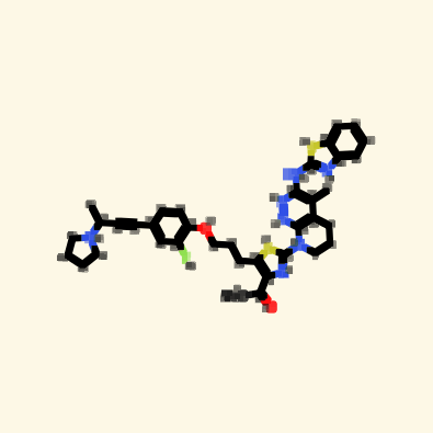 COC(=O)c1nc(N2CCCc3c2nnc(Nc2nc4ccccc4s2)c3C)sc1CCCOc1ccc(C#CC(C)N2CCCC2)cc1F